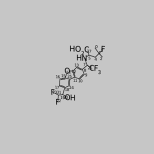 CC(C)(F)CC(NC(c1ccc2c(c1)oc1ccc(C(O)C(F)F)cc12)C(F)(F)F)C(=O)O